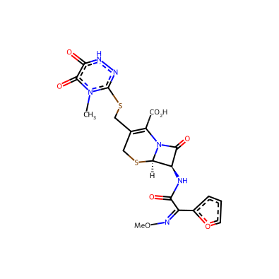 CO/N=C(\C(=O)N[C@@H]1C(=O)N2C(C(=O)O)=C(CSc3n[nH]c(=O)c(=O)n3C)CS[C@H]12)c1ccco1